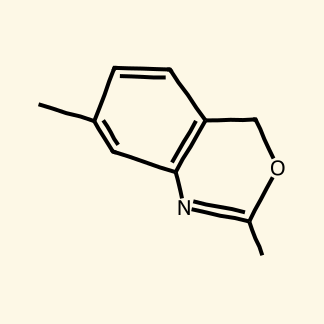 CC1=Nc2cc(C)ccc2CO1